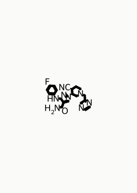 N#C[C@H]1CCN(Cc2cnccn2)C[C@@H]1n1cc(C(N)=O)c(Nc2ccc(F)cc2)n1